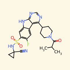 CC(C)C(=O)N1CCC(c2ncnc3[nH]c4cc(S(=O)(=O)NC5(C#N)CC5)c(F)cc4c23)CC1